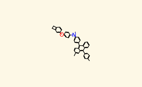 Cc1ccc(-c2c3ccccc3c(-c3ccc(N(C)c4ccc(Oc5ccc6c(c5)CC6)cc4)cc3)c3ccc(C)cc23)cc1